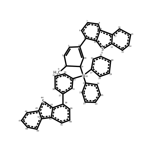 CC1C=CC(c2cccc3c2sc2ccccc23)=CC1[Si](c1ccccc1)(c1ccccc1)c1cccc(-c2cccc3c2sc2ccccc23)c1